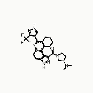 CN(C)[C@H]1CCN(C(=O)c2n[nH]c3ccc4nc(-c5c[nH]nc5C(F)(F)F)c5c(c4c23)CCCC5)C1